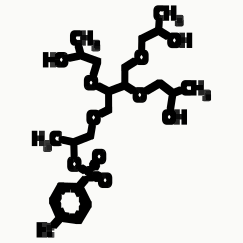 CCc1ccc(S(=O)(=O)OC(C)COCC(OCC(C)O)C(COCC(C)O)OCC(C)O)cc1